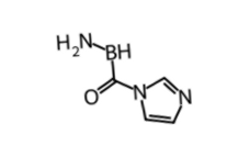 NBC(=O)n1ccnc1